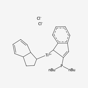 CCCCP(CCCC)C1=Cc2ccccc2[CH]1[Ti+2][CH]1CCC2C=CC=CC21.[Cl-].[Cl-]